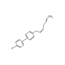 C/C=C/C/C=C\Cc1ccc(-c2ccc(F)cc2)cc1